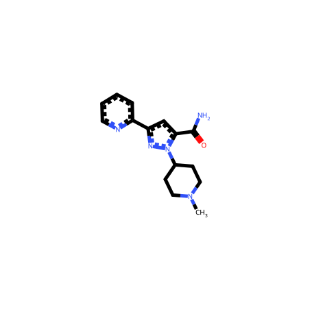 CN1CCC(n2nc(-c3ccccn3)cc2C(N)=O)CC1